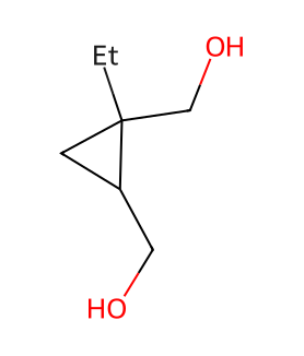 CCC1(CO)CC1CO